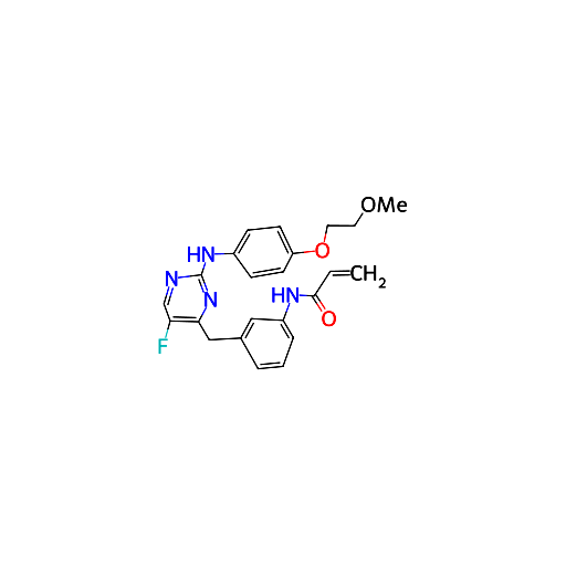 C=CC(=O)Nc1cccc(Cc2nc(Nc3ccc(OCCOC)cc3)ncc2F)c1